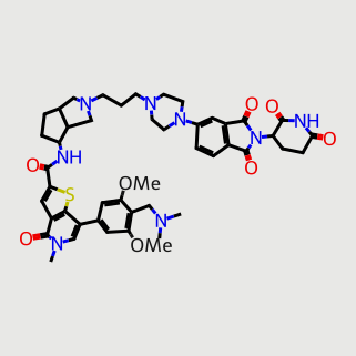 COc1cc(-c2cn(C)c(=O)c3cc(C(=O)NC4CCC5CN(CCCN6CCN(c7ccc8c(c7)C(=O)N(C7CCC(=O)NC7=O)C8=O)CC6)CC54)sc23)cc(OC)c1CN(C)C